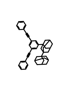 C(#Cc1cc(C#Cc2ccccc2)cc(C23CC4CC(C2)CC(C25CC6CC(CC(C6)C2)C5)(C4)C3)c1)c1ccccc1